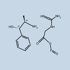 C[C@@H](N)[C@@H](O)c1ccccc1.N=C(N)NCC(=O)OP=O